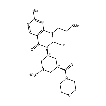 CSCCNc1nc(C(C)(C)C)ncc1C(=O)N(CC(C)C)[C@H]1C[C@@H](C(=O)N2CCOCC2)CN(C(=O)O)C1